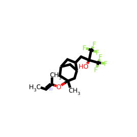 C/C=C(\C)OC1(C)CC2CC(C1)C(CC(O)(C(F)(F)F)C(F)(F)F)C2